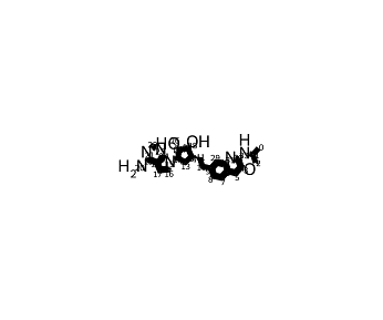 CC1COc2cc3ccc(CC[C@H]4C[C@@H](n5ccc6c(N)ncnc65)[C@H](O)[C@@H]4O)cc3nc2N1